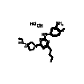 CCCCc1cc(N2CC[C@H](NCC)C2)nc(Nc2ccc(F)c(N)c2)n1.Cl.Cl